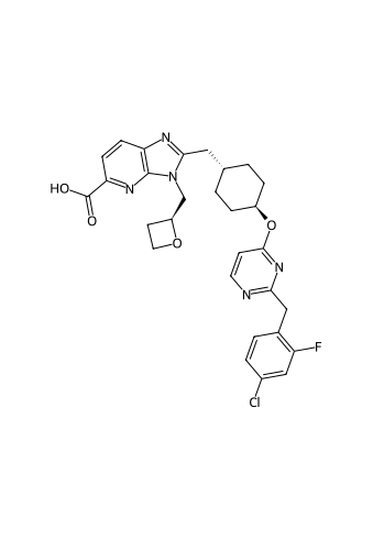 O=C(O)c1ccc2nc(C[C@H]3CC[C@H](Oc4ccnc(Cc5ccc(Cl)cc5F)n4)CC3)n(C[C@@H]3CCO3)c2n1